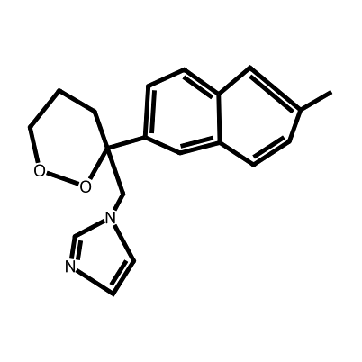 Cc1ccc2cc(C3(Cn4ccnc4)CCCOO3)ccc2c1